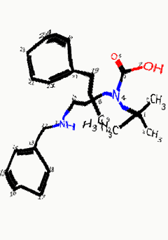 CC(C)(C)N(C(=O)O)C(C)(CNCc1ccccc1)Cc1ccccc1